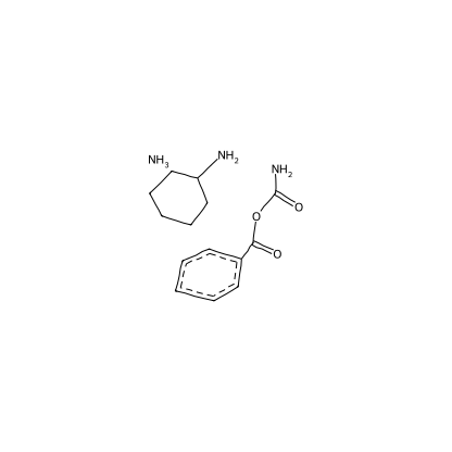 N.NC(=O)OC(=O)c1ccccc1.NC1CCCCC1